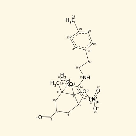 COC1(OC)C2CC(C=O)CC1(C)NC(NCCc1ccc(C)cc1)=C2[N+](=O)[O-]